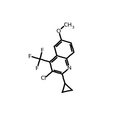 COc1ccc2nc(C3CC3)c(Cl)c(C(F)(F)F)c2c1